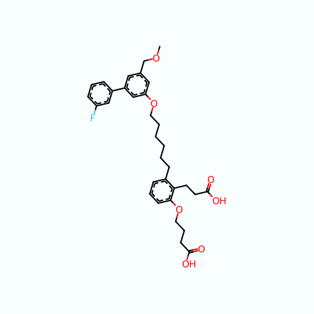 COCc1cc(OCCCCCCc2cccc(OCCCC(=O)O)c2CCC(=O)O)cc(-c2cccc(F)c2)c1